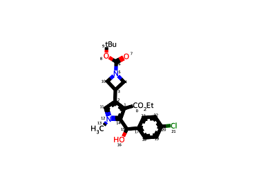 CCOC(=O)c1c(C2CN(C(=O)OC(C)(C)C)C2)cn(C)c1C(O)c1ccc(Cl)cc1